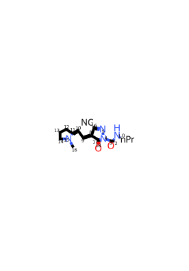 CCCNC(=O)N1N=C(C#N)/C(=C\C=C2\CCCN2C)C1=O